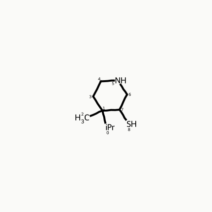 CC(C)C1(C)CCNCC1S